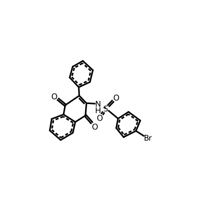 O=C1C(NS(=O)(=O)c2ccc(Br)cc2)=C(c2ccccc2)C(=O)c2ccccc21